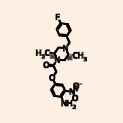 C[C@@H]1CN(C(=O)COc2ccc(N)c([N+](=O)[O-])c2)[C@@H](C)CN1Cc1ccc(F)cc1